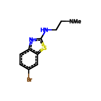 CNCCNc1nc2ccc(Br)cc2s1